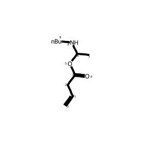 C=CCC(=O)OC(C)NCCCC